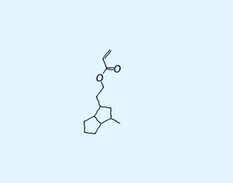 C=CC(=O)OCCC1CC(C)C2CCCC12